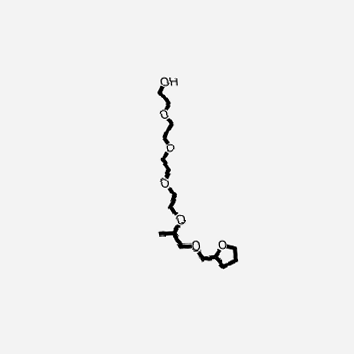 CC(COCC1CCCO1)OCCOCCOCCOCCO